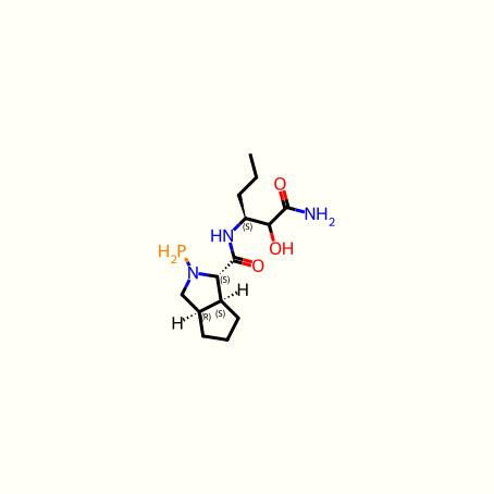 CCC[C@H](NC(=O)[C@@H]1[C@H]2CCC[C@H]2CN1P)C(O)C(N)=O